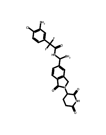 Bc1cc(C(F)(F)C(=O)NC(B)c2ccc3c(c2)CN(C2CCC(=O)NC2=O)C3=O)ccc1Cl